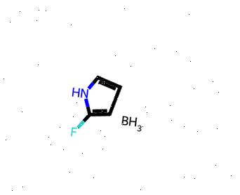 B.Fc1ccc[nH]1